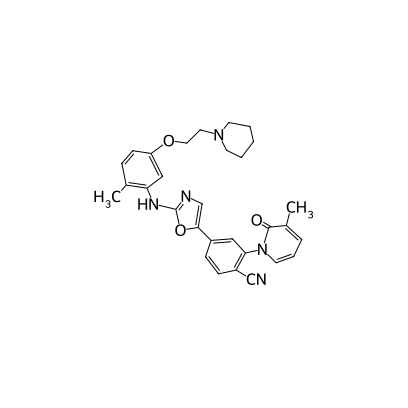 Cc1ccc(OCCN2CCCCC2)cc1Nc1ncc(-c2ccc(C#N)c(-n3cccc(C)c3=O)c2)o1